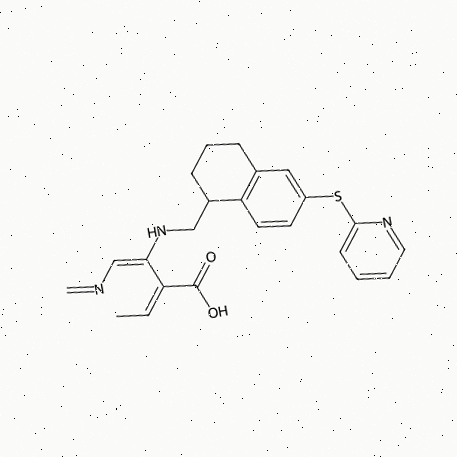 C=N/C=C(NCC1CCCc2cc(Sc3ccccn3)ccc21)\C(=C/C)C(=O)O